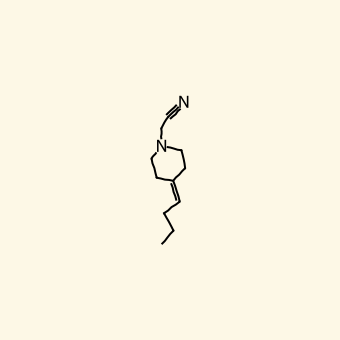 CCCC=C1CCN(CC#N)CC1